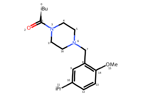 CC[C@H](C)C(=O)N1CCN(Cc2cc(C(C)C)ccc2OC)CC1